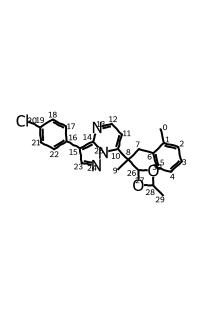 Cc1ccccc1CC(C)(c1ccnc2c(-c3ccc(Cl)cc3)cnn12)C1OC(C)O1